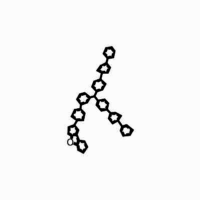 c1ccc(-c2ccc(-c3ccc(C(c4ccc(-c5ccc(-c6ccccc6)cc5)cc4)c4cccc(-c5ccc(-c6ccc7oc8ccccc8c7c6)cc5)c4)cc3)cc2)cc1